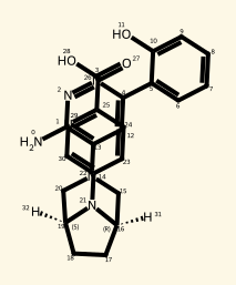 Nc1nnc(-c2ccccc2O)cc1N1C[C@H]2CC[C@@H](C1)N2c1ccc(C(=O)O)nc1